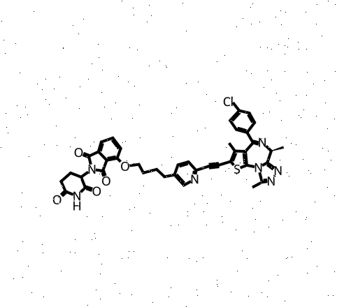 Cc1c(C#Cc2ccc(CCCCOc3cccc4c3C(=O)N(C3CCC(=O)NC3=O)C4=O)cn2)sc2c1C(c1ccc(Cl)cc1)=N[C@@H](C)c1nnc(C)n1-2